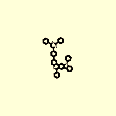 c1ccc(-c2cc(-c3ccc(-c4ccc5nc(-c6ccccc6)c6cc7c8ccccc8n(-c8ccccc8)c7cc6c5c4)cc3)nc(-c3ccccc3)n2)cc1